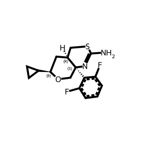 NC1=N[C@@]2(c3c(F)cccc3F)CO[C@@H](C3CC3)C[C@H]2CS1